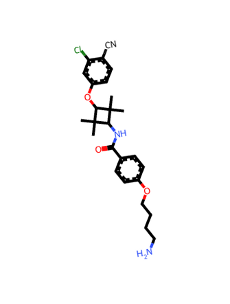 CC1(C)C(NC(=O)c2ccc(OCCCCN)cc2)C(C)(C)C1Oc1ccc(C#N)c(Cl)c1